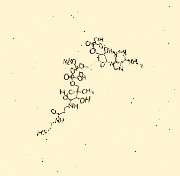 CC(C)(COP(=O)(O)OP(=O)(O)OC[C@H]1O[C@@H](n2cnc3c(N)ncnc32)[C@H](O)[C@@H]1OP(=O)([O-])O)C(O)C(=O)NCCC(=O)NCCS.[Na+]